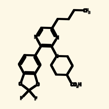 O=C(O)C1CCN(c2nc(CCCC(F)(F)F)cnc2-c2ccc3c(c2)OC(F)(F)O3)CC1